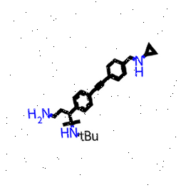 CC(C)(C)NC(C)(C)C(CCN)c1ccc(C#CC2=CC=C(CNC3CC3)CC2)cc1